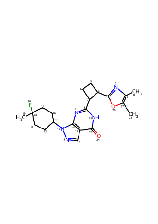 Cc1nc(C2CCC2c2nc3c(cnn3C3CCC(C)(F)CC3)c(=O)[nH]2)oc1C